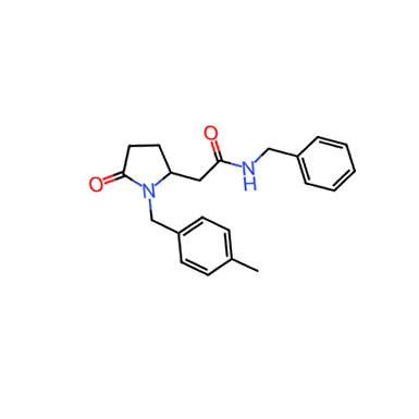 Cc1ccc(CN2C(=O)CCC2CC(=O)NCc2ccccc2)cc1